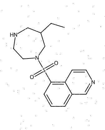 CCC1CNCCN(S(=O)(=O)c2cccc3cnccc23)C1